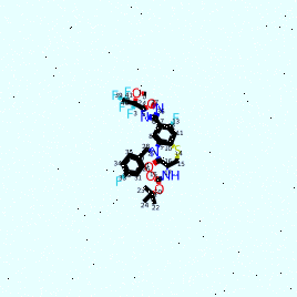 COC(F)(c1nc(-c2cc3c(cc2F)SC[C@H](NC(=O)OC(C)(C)C)C(=O)N3Cc2ccc(F)cc2)no1)C(F)(F)F